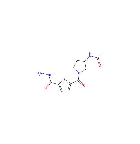 CC(=O)NC1CCN(C(=O)c2ccc(C(=O)NN)s2)C1